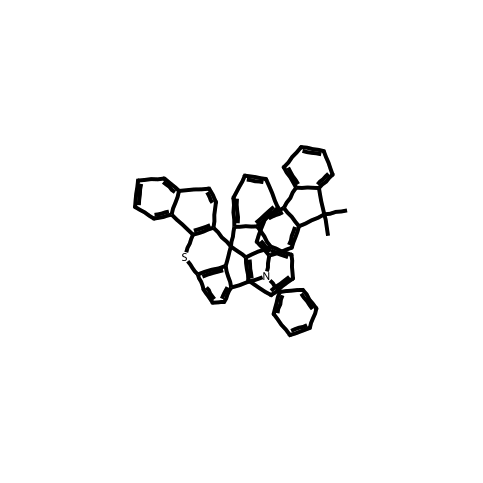 CC1(C)c2ccccc2-c2ccc(N(c3ccccc3)c3cccc4c3C3(c5ccccc5-c5ccccc53)c3ccc5ccccc5c3S4)cc21